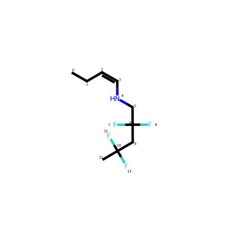 CC/C=C\NCC(F)(F)CC(C)(F)F